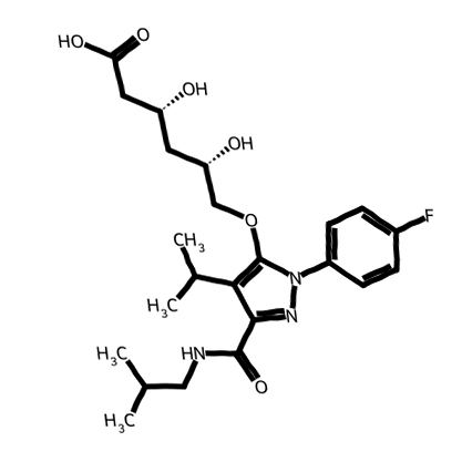 CC(C)CNC(=O)c1nn(-c2ccc(F)cc2)c(OC[C@@H](O)C[C@@H](O)CC(=O)O)c1C(C)C